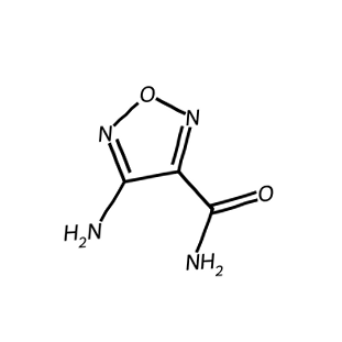 NC(=O)c1nonc1N